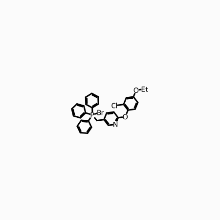 CCOc1ccc(Oc2ccc(CP(Br)(c3ccccc3)(c3ccccc3)c3ccccc3)cn2)c(Cl)c1